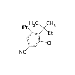 CCC(C)(C)c1c(Cl)cc(C#N)cc1C(C)C